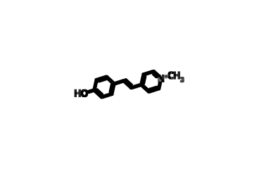 C[n+]1ccc(C=Cc2ccc(O)cc2)cc1